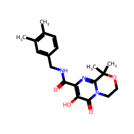 Cc1ccc(CNC(=O)c2nc3n(c(=O)c2O)CCOC3(C)C)cc1C